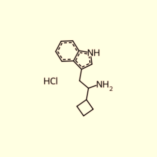 Cl.NC(Cc1c[nH]c2ccccc12)C1CCC1